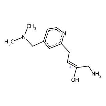 CN(C)Cc1ccnc(C/C=C(/O)CN)c1